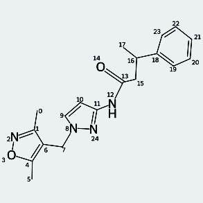 Cc1noc(C)c1Cn1ccc(NC(=O)CC(C)c2ccccc2)n1